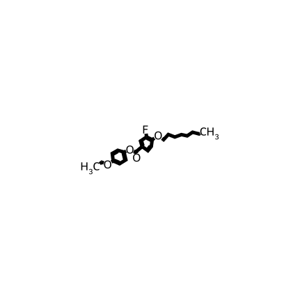 CCCCCCCCOc1ccc(C(=O)Oc2ccc(OCC)cc2)cc1F